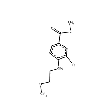 COCCNc1ccc(C(=O)OC)cc1Cl